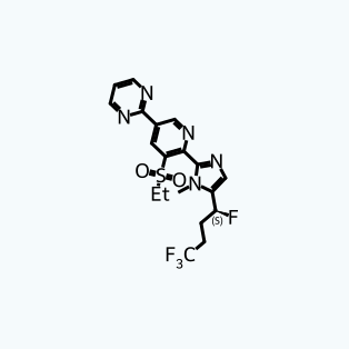 CCS(=O)(=O)c1cc(-c2ncccn2)cnc1-c1ncc([C@@H](F)CCC(F)(F)F)n1C